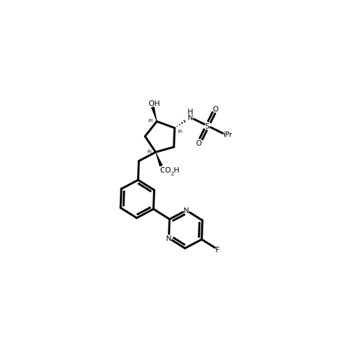 CC(C)S(=O)(=O)N[C@@H]1C[C@@](Cc2cccc(-c3ncc(F)cn3)c2)(C(=O)O)C[C@H]1O